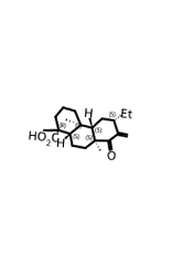 C=C1C(=O)[C@@]2(C)CC[C@H]3[C@@](C)(CCC[C@@]3(C)C(=O)O)[C@@H]2C[C@@H]1CC